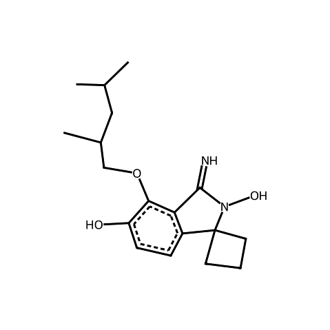 CC(C)CC(C)COc1c(O)ccc2c1C(=N)N(O)C21CCC1